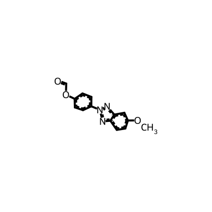 COc1ccc2nn(-c3ccc(OC=O)cc3)nc2c1